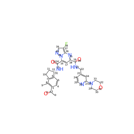 CC(=O)c1ccc2c(c1C)CC[C@@H]2NC(=O)c1cc(C(=O)NCc2ccnc(N3CCOCC3)c2)nc2c(F)cnn12